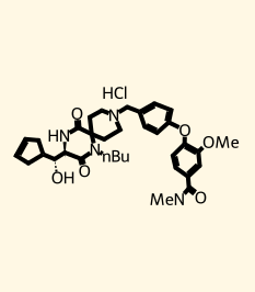 CCCCN1C(=O)[C@@H]([C@H](O)C2CC=CC2)NC(=O)C12CCN(Cc1ccc(Oc3ccc(C(=O)NC)cc3OC)cc1)CC2.Cl